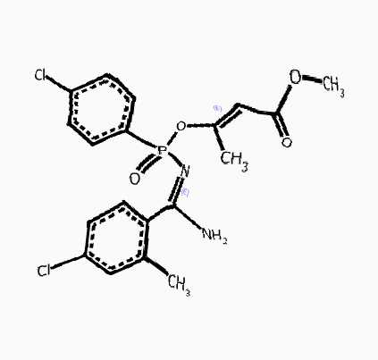 COC(=O)/C=C(\C)OP(=O)(/N=C(/N)c1ccc(Cl)cc1C)c1ccc(Cl)cc1